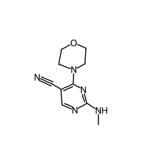 CNc1ncc(C#N)c(N2CCOCC2)n1